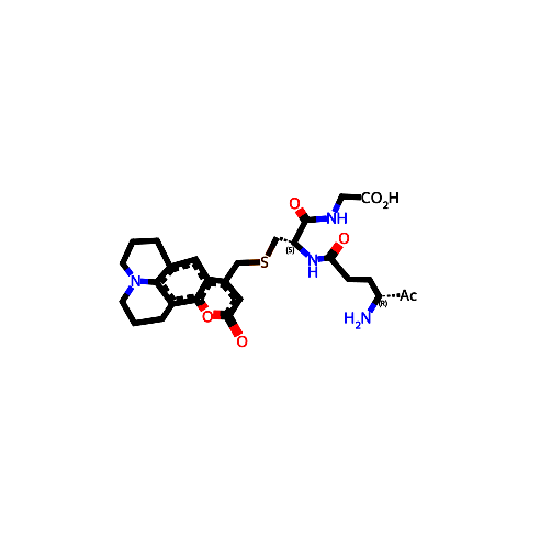 CC(=O)[C@H](N)CCC(=O)N[C@H](CSCc1cc(=O)oc2c3c4c(cc12)CCCN4CCC3)C(=O)NCC(=O)O